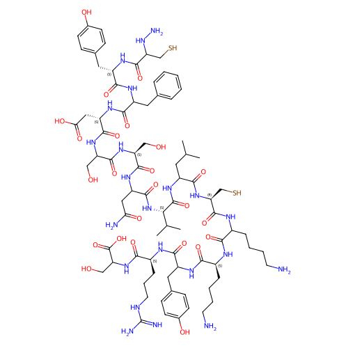 CC(C)CC(NC(=O)[C@@H](NC(=O)C(CC(N)=O)NC(=O)[C@H](CO)NC(=O)C(CO)NC(=O)[C@H](CC(=O)O)NC(=O)C(Cc1ccccc1)NC(=O)[C@H](Cc1ccc(O)cc1)NC(=O)C(CS)NN)C(C)C)C(=O)N[C@@H](CS)C(=O)NC(CCCCN)C(=O)N[C@@H](CCCCN)C(=O)NC(Cc1ccc(O)cc1)C(=O)N[C@@H](CCCNC(=N)N)C(=O)NC(CO)C(=O)O